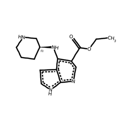 CCOC(=O)c1cnc2[nH]ccc2c1N[C@H]1CCCNC1